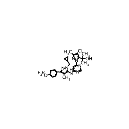 Cc1nn(-c2cc(Nc3c(C)c(-c4ccc(OC(F)(F)F)cc4)nn3CC3CC3)ncn2)c(C(C)(C)O)c1Cl